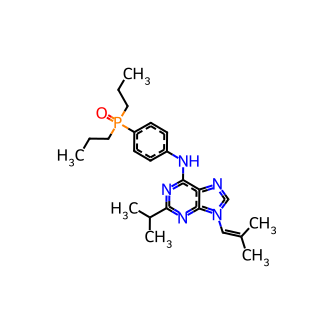 CCCP(=O)(CCC)c1ccc(Nc2nc(C(C)C)nc3c2ncn3C=C(C)C)cc1